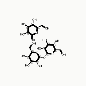 OC[C@H]1OC(O)[C@@H](O)[C@@H](O)[C@@H]1O.OC[C@H]1O[C@H](O[C@H]2O[C@H](CO)[C@@H](O)[C@H](O)[C@H]2O)[C@H](O)[C@@H](O)[C@@H]1O